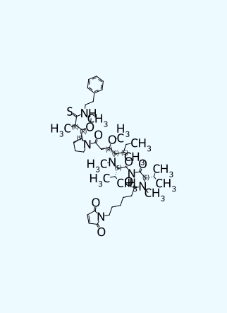 CC[C@H](C)[C@@H]([C@@H](CC(=O)N1CCC[C@H]1[C@H](OC)[C@@H](C)C(=S)NCCc1ccccc1)OC)N(C)[C@H](C(=O)NC(=O)[C@H](C(C)C)N(C)C(=O)CCCCCN1C(=O)C=CC1=O)C(C)C